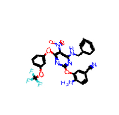 N#Cc1ccc(N)c(Oc2nc(NCc3ccccc3)c([N+](=O)[O-])c(Oc3cccc(OC(F)(F)F)c3)n2)c1